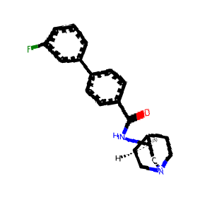 O=C(N[C@@H]1CN2CCC1CC2)c1ccc(-c2cccc(F)c2)cc1